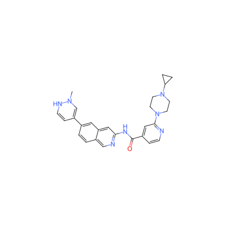 CN1C=C(c2ccc3cnc(NC(=O)c4ccnc(N5CCN(C6CC6)CC5)c4)cc3c2)C=CN1